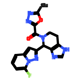 CC(C)(C)c1nnc(C(=O)N2CCc3[nH]cnc3C2c2cc3cccc(F)n3n2)o1